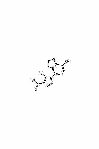 N#Cc1ccc(-n2ncc(C(N)=O)c2C(F)(F)F)n2ccnc12